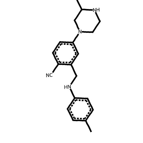 Cc1ccc(NCc2cc(N3CCNC(C)C3)ccc2C#N)cc1